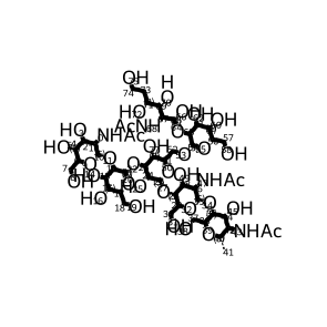 CC(=O)NC1C(O)[C@H](O)C(CO)O[C@H]1OC1C(O)[C@H](O)C(CO)O[C@@H]1OC1C(O)[C@H](O[C@@H]2C(CO)O[C@@H](O[C@@H]3C(CO)O[C@@H](C)C(NC(C)=O)C3O)C(NC(C)=O)C2O)OC(CO[C@H]2OC(CO)[C@@H](O)C(O)C2O[C@H](O)C(NC(C)=O)C(O)[C@H](O)CCO)[C@H]1O